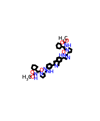 COC(=O)N[C@H](C(=O)N1CCC[C@H]1c1ncc(-c2ccc3cc(-c4ccc5nc([C@@H]6CCCN6C(=O)[C@@H](NC(=O)OC)C6CCCCC6)[nH]c5c4)ncc3c2)[nH]1)C1CCCCC1